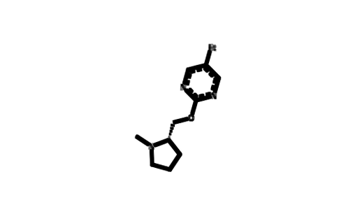 CCc1cnc(OC[C@@H]2CCCN2C)nc1